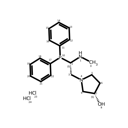 CN[C@H](CN1CC[C@H](O)C1)P(c1ccccc1)c1ccccc1.Cl.Cl